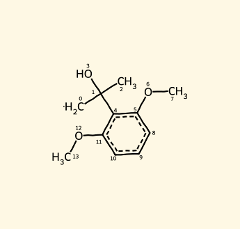 [CH2]C(C)(O)c1c(OC)cccc1OC